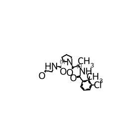 Cc1c(Cl)cccc1C(=O)N[C@@H](C)C(=O)N1CCC[C@H]1C(=O)NCC=O